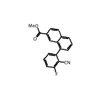 COC(=O)c1ccc2cccc(-c3cccc(F)c3C#N)c2c1